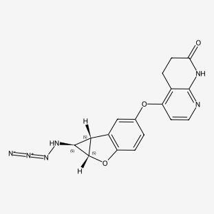 [N-]=[N+]=NN[C@@H]1[C@H]2Oc3ccc(Oc4ccnc5c4CCC(=O)N5)cc3[C@@H]12